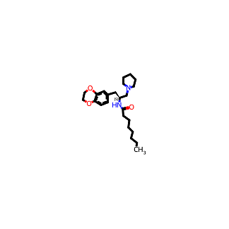 CCCCCCCC(=O)N[C@@H](Cc1ccc2c(c1)OCCO2)CN1CCCCC1